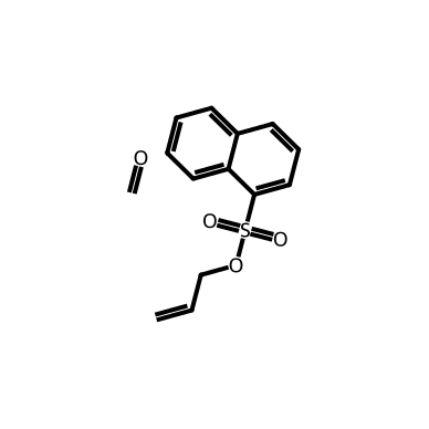 C=CCOS(=O)(=O)c1cccc2ccccc12.C=O